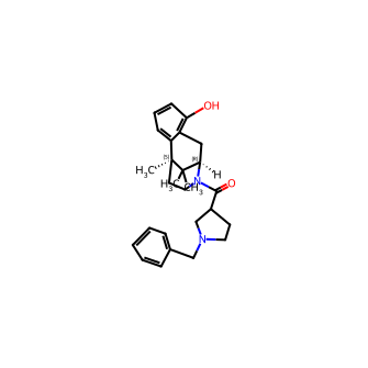 CC1(C)[C@H]2Cc3c(O)cccc3[C@]1(C)CCN2C(=O)C1CCN(Cc2ccccc2)C1